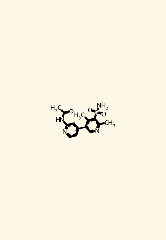 CC(=O)Nc1cc(-c2cnc(C)c(S(N)(=O)=O)c2C)ccn1